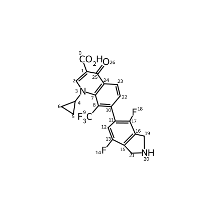 O=C(O)c1cn(C2CC2)c2c(C(F)(F)F)c(-c3cc(F)c4c(c3F)CNC4)ccc2c1=O